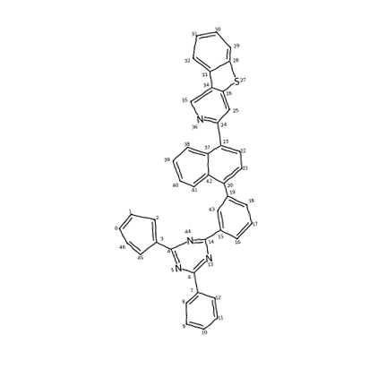 c1ccc(-c2nc(-c3ccccc3)nc(-c3cccc(-c4ccc(-c5cc6sc7ccccc7c6cn5)c5ccccc45)c3)n2)cc1